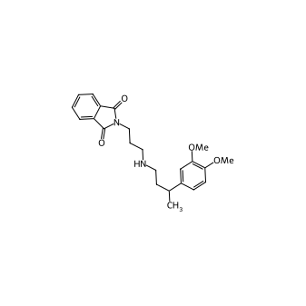 COc1ccc(C(C)CCNCCCN2C(=O)c3ccccc3C2=O)cc1OC